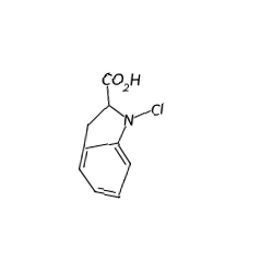 O=C(O)C1Cc2ccccc2N1Cl